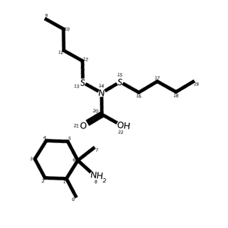 CC1CCCCC1(C)N.CCCCSN(SCCCC)C(=O)O